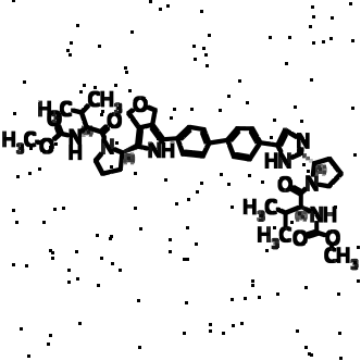 COC(=O)N[C@H](C(=O)N1CCC[C@@H]1c1[nH]c(-c2ccc(-c3ccc(-c4cnc([C@@H]5CCCN5C(=O)[C@@H](NC(=O)OC)C(C)C)[nH]4)cc3)cc2)c2c1COC2)C(C)C